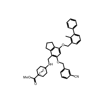 COC(=O)C12CCC(NCc3c(OCc4cccc(C#N)c4)cc(OCc4cccc(-c5ccccc5)c4C)c4c3CCC4)(CC1)CC2